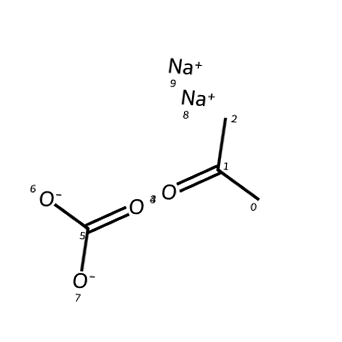 CC(C)=O.O=C([O-])[O-].[Na+].[Na+]